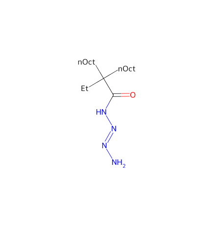 CCCCCCCCC(CC)(CCCCCCCC)C(=O)NN=NN